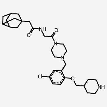 O=C(CC12CC3CC(C1)C(C3)C2)NCC(=O)N1CCN(Cc2cc(Cl)ccc2OCC2CCNCC2)CC1